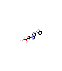 CNC(=O)c1cc(-n2ncc3cc(Nc4ccccc4Cl)ncc32)cs1